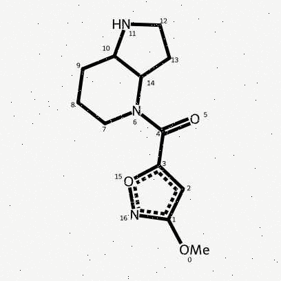 COc1cc(C(=O)N2CCCC3NCCC32)on1